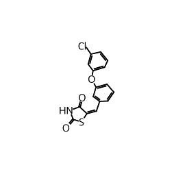 O=C1NC(=O)/C(=C\c2cccc(Oc3cccc(Cl)c3)c2)S1